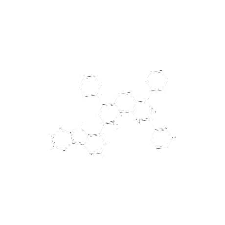 c1ccc(-c2nc(-c3ccccc3)c3ccc4c(-c5ccccc5)cc(-c5cccc6c5sc5ccccc56)nc4c3n2)cc1